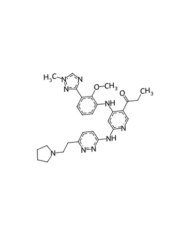 CCC(=O)c1cnc(Nc2ccc(CCN3CCCC3)nn2)cc1Nc1cccc(-c2ncn(C)n2)c1OC